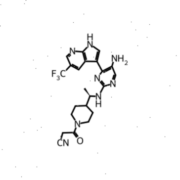 C[C@@H](Nc1ncc(N)c(-c2c[nH]c3ncc(C(F)(F)F)cc23)n1)C1CCN(C(=O)CC#N)CC1